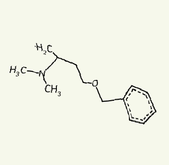 [CH2]C(CCOCc1ccccc1)N(C)C